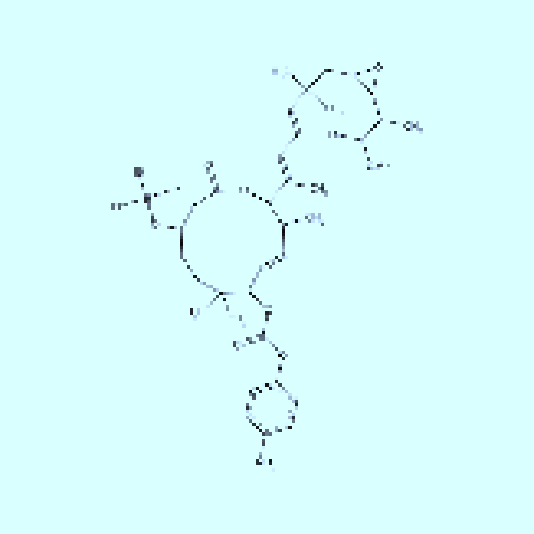 CCC(OC)C(C)C1OC1CC(C)(C)/C=C/C=C(\C)C1OC(=O)CC(O[Si](CC)(CC)C(C)C)CCC(C)(C)C(OC(=O)Oc2ccc([N+](=O)[O-])cc2)/C=C/C1C